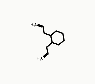 C=C[CH]C1CCCCC1[CH]C=C